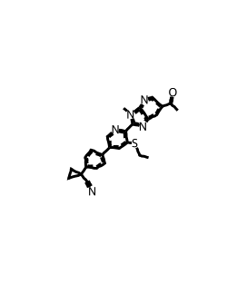 CCSc1cc(-c2ccc(C3(C#N)CC3)cc2)cnc1-c1nc2cc(C(C)=O)cnc2n1C